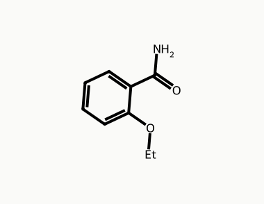 CCOc1ccccc1C(N)=O